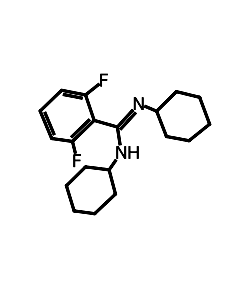 Fc1cccc(F)c1C(=NC1CCCCC1)NC1CCCCC1